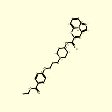 CCOC(=O)c1ccc(OCCCN2CCC(NC(=O)C3=Cc4cnc5cccc(n45)S3)CC2)cc1